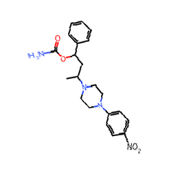 CC(CC(OC(N)=O)c1ccccc1)N1CCN(c2ccc([N+](=O)[O-])cc2)CC1